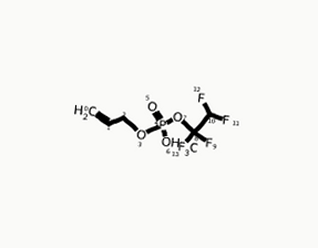 C=CCOP(=O)(O)OC(F)(C(F)F)C(F)(F)F